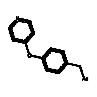 CC(=O)Cc1ccc(Oc2ccncc2)cc1